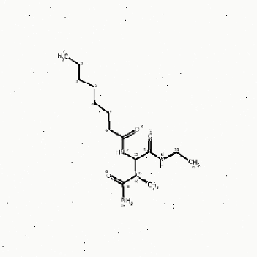 CCCCCCCC(=O)NC(C(=O)NCC)[C@@H](C)C(N)=O